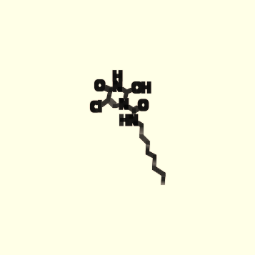 CCCCCCCCNC(=O)N1C=C(Cl)C(=O)NC1O